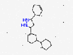 C1=CCC(C2CC(C3=CCCC(C4CCCCC4)C3)NN2)CC1